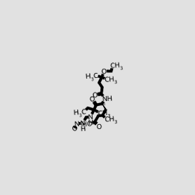 CCOC(C)(C)CCC(=O)N[C@@H](CC(C)CC(=O)O)C(=O)C(C)(CC)NCNN=O